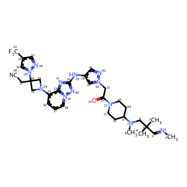 C/N=C/C(C)(C)CN(C)C1CCN(C(=O)Cn2cc(Nc3nc4c(N5CC(CC#N)(n6cc(C(F)(F)F)cn6)C5)cccn4n3)cn2)CC1